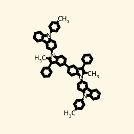 Cc1ccc(-n2c3ccccc3c3cc(-n4c(C)c(-c5ccccc5)c5cc(-c6ccc7c(c6)c(-c6ccccc6)c(C)n7-c6ccc7c(c6)c6ccccc6n7-c6ccc(C)cc6)ccc54)ccc32)cc1